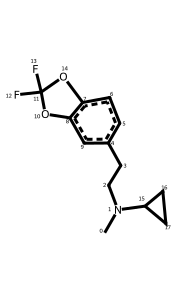 CN(CCc1ccc2c(c1)OC(F)(F)O2)C1CC1